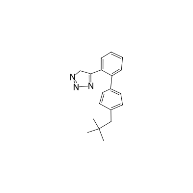 CC(C)(C)Cc1ccc(-c2ccccc2C2=NN=NC2)cc1